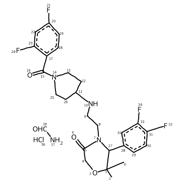 CC1(C)OCC(=O)N(CCNC2CCN(C(=O)c3ccc(F)cc3F)CC2)C1c1ccc(F)c(F)c1.Cl.NC=O